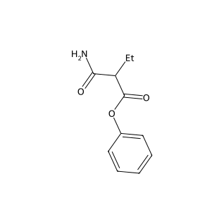 CCC(C(N)=O)C(=O)Oc1ccccc1